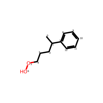 CC(CCCOO)c1ccccc1